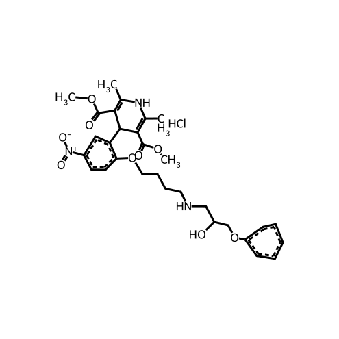 COC(=O)C1=C(C)NC(C)=C(C(=O)OC)C1c1cc([N+](=O)[O-])ccc1OCCCCNCC(O)COc1ccccc1.Cl